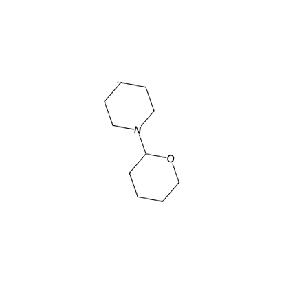 [CH]1CCN(C2CCCCO2)CC1